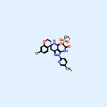 Cc1ccc(-n2nc3c(c2NC(=O)CS(C)(=O)=O)C(=O)N[C@@]2(CCOc4cc(Cl)ccc42)C3)nc1